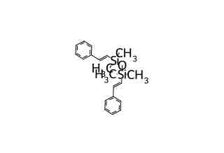 C[Si](C)(C=Cc1ccccc1)O[Si](C)(C)C=Cc1ccccc1